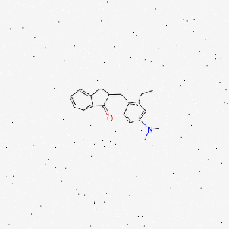 CCc1cc(N(C)C)ccc1C=C1Cc2ccccc2C1=O